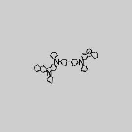 c1ccc(N(c2ccc(-c3ccc(N(c4ccccc4)c4ccc5c(c4)c4cc6ccccc6cc4n5-c4ccccc4)cc3)cc2)c2ccc3oc4ccccc4c3c2)cc1